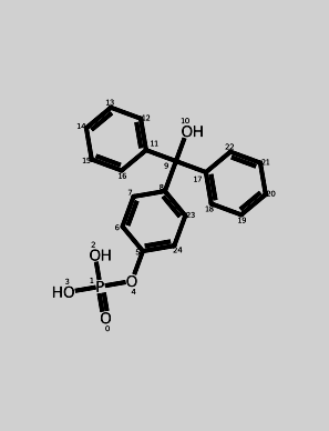 O=P(O)(O)Oc1ccc(C(O)(c2ccccc2)c2ccccc2)cc1